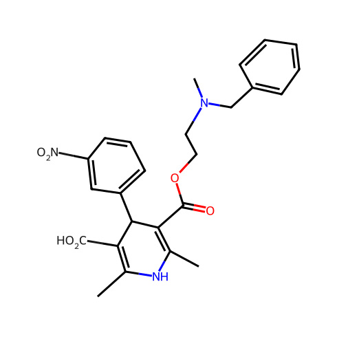 CC1=C(C(=O)O)C(c2cccc([N+](=O)[O-])c2)C(C(=O)OCCN(C)Cc2ccccc2)=C(C)N1